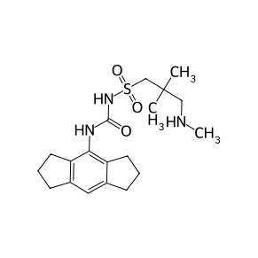 CNCC(C)(C)CS(=O)(=O)NC(=O)Nc1c2c(cc3c1CCC3)CCC2